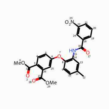 COC(=O)c1ccc(Oc2ccc(C)cc2NC(=O)c2cccc([N+](=O)[O-])c2)cc1C(=O)OC